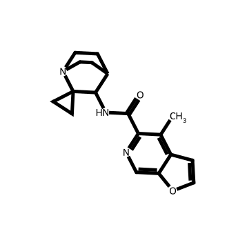 Cc1c(C(=O)NC2C3CCN(CC3)C23CC3)ncc2occc12